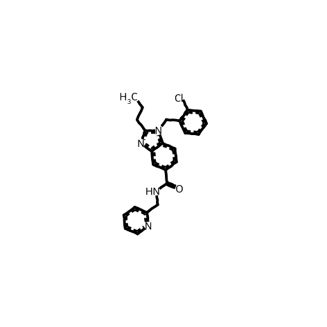 CCCc1nc2cc(C(=O)NCc3ccccn3)ccc2n1Cc1ccccc1Cl